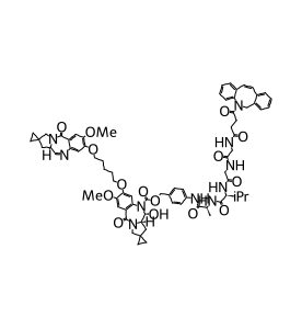 COc1cc2c(cc1OCCCCCOc1cc3c(cc1OC)C(=O)N1CC4(CC4)C[C@H]1[C@H](O)N3C(=O)OCc1ccc(NC(=O)[C@H](C)NC(=O)[C@@H](NC(=O)CNC(=O)CNC(=O)CCC(=O)N3Cc4ccccc4/C=C\c4ccccc43)C(C)C)cc1)N=C[C@@H]1CC3(CC3)CN1C2=O